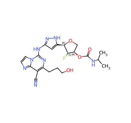 CC(C)NC(=O)O[C@@H]1CO[C@H](c2cc(Nc3nc(CCCO)c(C#N)c4nccn34)n[nH]2)[C@@H]1F